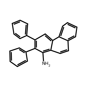 Nc1c(-c2ccccc2)c(-c2ccccc2)cc2c1ccc1ccccc12